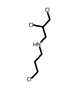 ClCCCNCC(Cl)CCl